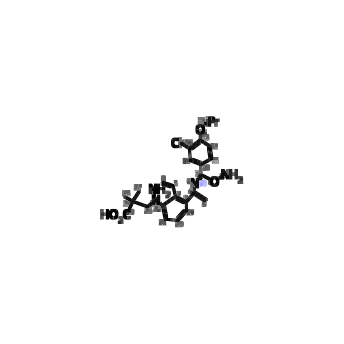 C=Cc1c(C(=C)/N=C(\ON)c2ccc(OC(C)C)c(Cl)c2)cccc1N(N)CC(C)(C)C(=O)O